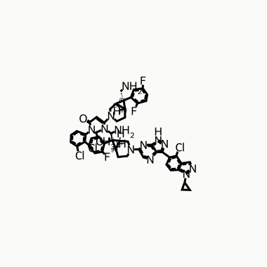 CC1N(c2cccc(Cl)c2Cl)C(=O)C=C(N2CC[C@@H]3[C@H](C2)[C@@]3(CN)c2cc(F)ccc2F)N1C(N)[C@]1(c2ccccc2F)[C@@H]2CCN(c3cnc4c(-c5ccc6c(cnn6C6CC6)c5Cl)n[nH]c4n3)C[C@@H]21